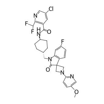 COc1ccc(N2CC3(C2)C(=O)N(C[C@H]2CC[C@H](NC(=O)c4cc(Cl)cnc4C(F)F)CC2)c2cc(F)ccc23)nc1